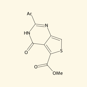 COC(=O)c1scc2nc(C(C)=O)[nH]c(=O)c12